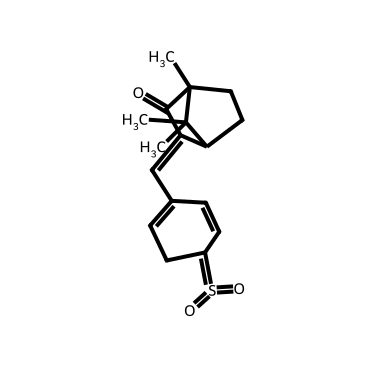 CC12CCC(C(=CC3=CCC(=S(=O)=O)C=C3)C1=O)C2(C)C